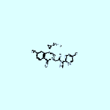 O=C(Cn1nc([C@@H]2C[C@H]2P)c2cc(Br)ccc2c1=O)Nc1ncc(F)cn1